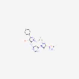 Cc1nnc(-c2c(C)nn(-c3cc(Nc4c(O)c(-c5ccc(F)cc5)nn4CC4CC4)ncn3)c2C)o1